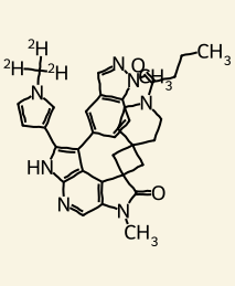 [2H]C([2H])([2H])n1ccc(-c2[nH]c3ncc4c(c3c2-c2ccc3c(cnn3C)c2)C2(CC3(CCN(C(=O)CCC)CC3)C2)C(=O)N4C)c1